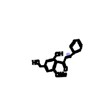 COc1cc(CO)cc(O)c1C(=O)/C=C/c1ccccc1